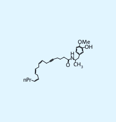 CCC/C=C\C/C=C\C/C=C\CC#CCCCC(=O)NC(C)Cc1ccc(OC)c(O)c1